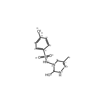 CC1=NNC(O)N(NS(=O)(=O)c2ccc(C(F)(F)F)cc2)C1